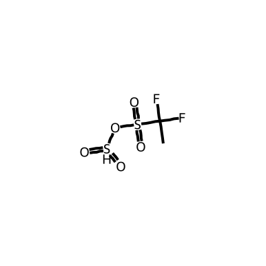 CC(F)(F)S(=O)(=O)O[SH](=O)=O